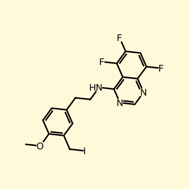 COc1ccc(CCNc2ncnc3c(F)cc(F)c(F)c23)cc1CI